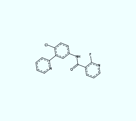 O=C(Nc1ccc(Cl)c(-c2ccccn2)c1)c1cccnc1F